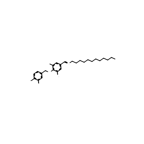 CCCCCCCCCCCCN=Cc1cc(Br)c(OCc2ccc(Cl)c(Cl)c2)c(Br)c1